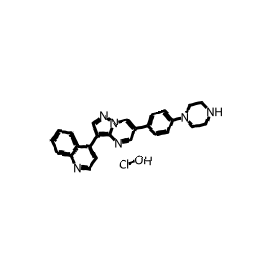 OCl.c1ccc2c(-c3cnn4cc(-c5ccc(N6CCNCC6)cc5)cnc34)ccnc2c1